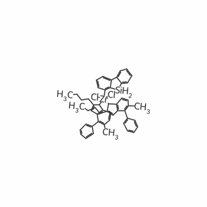 CCCCC1=Cc2c(ccc(C)c2-c2ccccc2)[CH]1[Zr]([Cl])([Cl])([c]1cccc2c1[SiH2]c1ccccc1-2)[CH]1C(CCCC)=Cc2c1ccc(C)c2-c1ccccc1